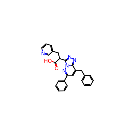 O=C(O)C(Cc1cccnc1)c1nnc2c(Cc3ccccc3)cc(-c3ccccc3)nn12